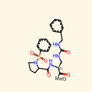 COC(=O)[C@H](CNC(=O)NCc1ccccc1)NC(=O)C1CCCN1S(=O)(=O)c1ccccc1